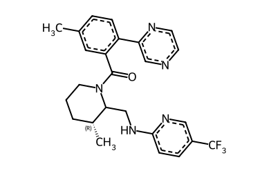 Cc1ccc(-c2cnccn2)c(C(=O)N2CCC[C@@H](C)C2CNc2ccc(C(F)(F)F)cn2)c1